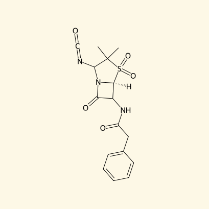 CC1(C)C(N=C=O)N2C(=O)C(NC(=O)Cc3ccccc3)[C@@H]2S1(=O)=O